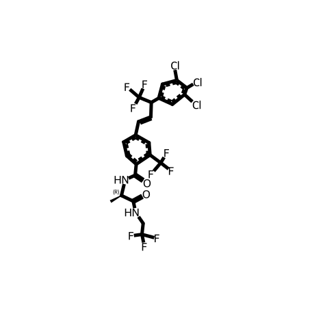 C[C@@H](NC(=O)c1ccc(C=CC(c2cc(Cl)c(Cl)c(Cl)c2)C(F)(F)F)cc1C(F)(F)F)C(=O)NCC(F)(F)F